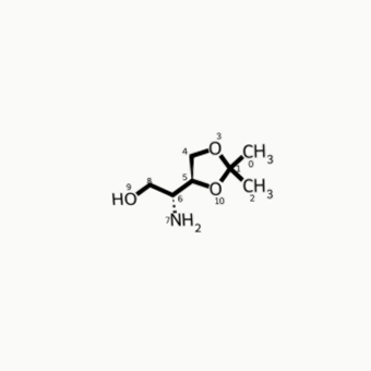 CC1(C)OC[C@H]([C@H](N)CO)O1